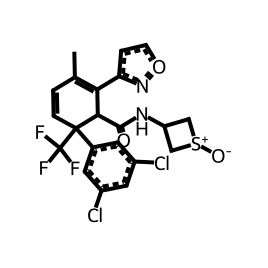 CC1=C(c2ccon2)C(C(=O)NC2C[S+]([O-])C2)C(c2cc(Cl)cc(Cl)c2)(C(F)(F)F)C=C1